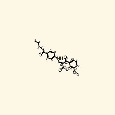 CCCOC(=O)c1ccc(NC=C2C(=O)Oc3c(OC)cccc3C2=O)cc1